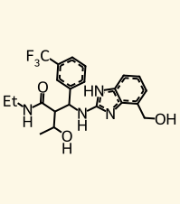 CCNC(=O)C(C(C)O)C(Nc1nc2c(CO)cccc2[nH]1)c1cccc(C(F)(F)F)c1